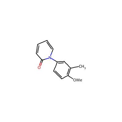 COc1ccc(-n2ccccc2=O)cc1C